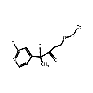 CCOOCCC(=O)C(C)(C)c1ccnc(F)c1